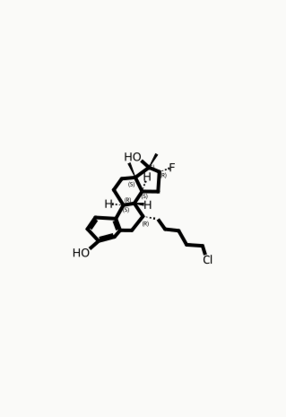 C[C@]12CC[C@@H]3c4ccc(O)cc4C[C@@H](CCCCCCl)[C@H]3[C@@H]1C[C@@H](F)[C@@]2(C)O